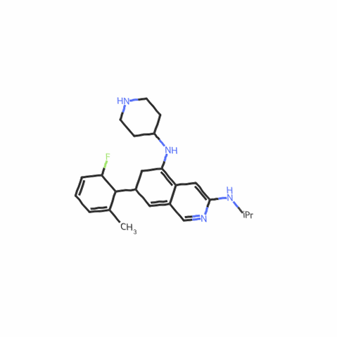 CC1=CC=CC(F)C1C1C=c2cnc(NC(C)C)cc2=C(NC2CCNCC2)C1